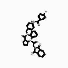 O=C(Nc1ccc(CN2C(=O)C3CCCC3N(C(=O)CN3C(=O)c4ccccc4C3=O)c3ccccc32)cc1)c1ccc(Cl)cc1